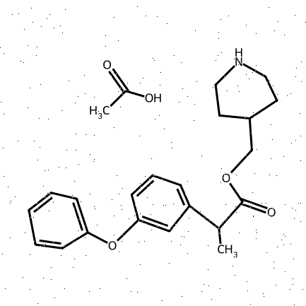 CC(=O)O.CC(C(=O)OCC1CCNCC1)c1cccc(Oc2ccccc2)c1